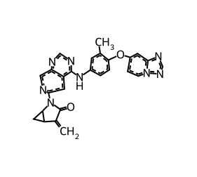 C=C1C(=O)N(c2cc3c(Nc4ccc(Oc5ccn6ncnc6c5)c(C)c4)ncnc3cn2)C2CC12